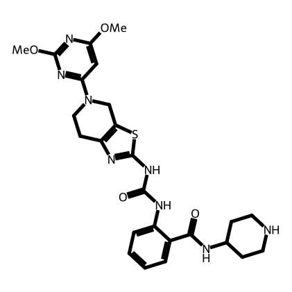 COc1cc(N2CCc3nc(NC(=O)Nc4ccccc4C(=O)NC4CCNCC4)sc3C2)nc(OC)n1